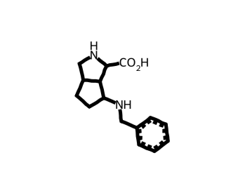 O=C(O)C1NCC2CCC(NCc3ccccc3)C21